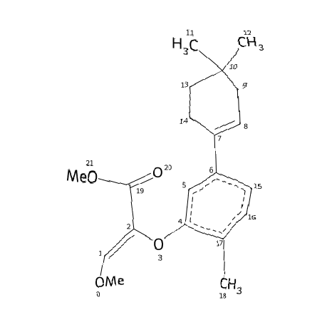 CO/C=C(\Oc1cc(C2=CCC(C)(C)CC2)ccc1C)C(=O)OC